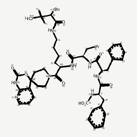 CC(C)C[C@@H](NC(=O)[C@@H](Cc1ccccc1)NC(=O)[C@@H](Cc1ccccc1)NC(=O)O)C(=O)N[C@H](CCCCNC(=O)C(C(C)(C)C)C(C)(C)O)C(=O)N1CCC2(CC1)OC(=O)Nc1ncccc12